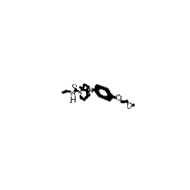 CCNC(=O)N1CC2CN(c3ccc(OCCOC)cc3)C3CC1(C)C3(C)C2